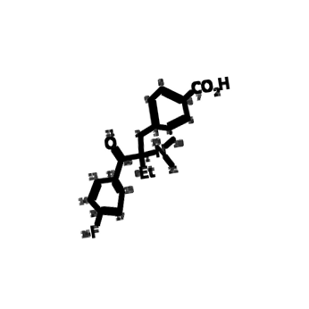 CCC(Cc1ccc(C(=O)O)cc1)(C(=O)c1ccc(F)cc1)N(C)C